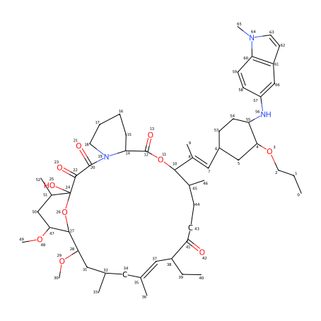 CCCOC1CC(C=C(C)C2OC(=O)C3CCCCN3C(=O)C(=O)C3(O)OC(C(OC)CC(C)C/C(C)=C/C(CC)C(=O)CCC2C)C(OC)CC3C)CCC1Nc1ccc2c(ccn2C)c1